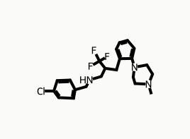 CN1CCN(c2ccccc2CC(CNCc2ccc(Cl)cc2)C(F)(F)F)CC1